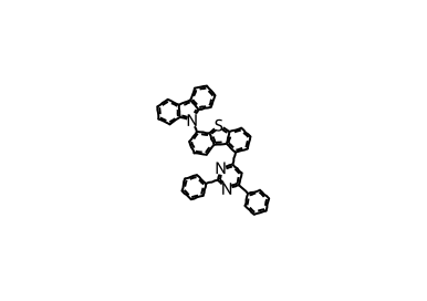 c1ccc(-c2cc(-c3cccc4sc5c(-n6c7ccccc7c7ccccc76)cccc5c34)nc(-c3ccccc3)n2)cc1